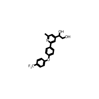 Cc1cc(C(O)CO)cc(-c2ccc(Oc3ccc(C(F)(F)F)cc3)cc2)n1